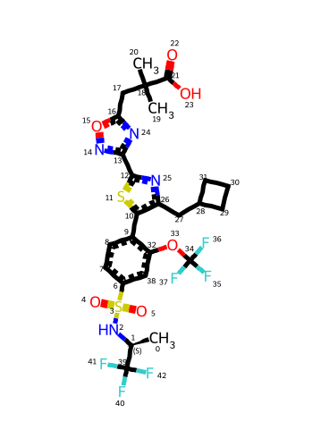 C[C@H](NS(=O)(=O)c1ccc(-c2sc(-c3noc(CC(C)(C)C(=O)O)n3)nc2CC2CCC2)c(OC(F)(F)F)c1)C(F)(F)F